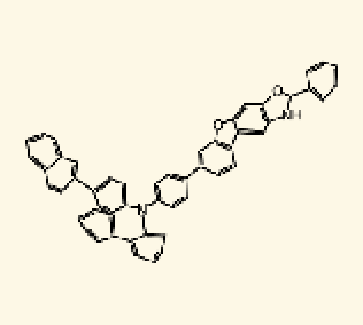 c1ccc(-c2ccccc2N(c2ccc(-c3ccc4ccccc4c3)cc2)c2ccc(-c3ccc4c(c3)oc3cc5c(cc34)NC(c3ccccc3)O5)cc2)cc1